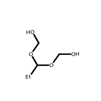 CCC(OCO)OCO